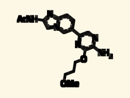 COCCCOc1nc(-c2ccc3nc(NC(C)=O)cn3c2)cnc1N